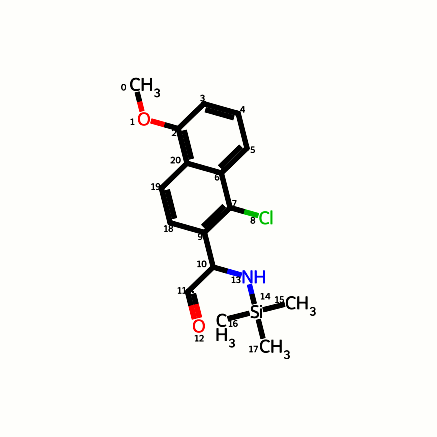 COc1cccc2c(Cl)c(C([C]=O)N[Si](C)(C)C)ccc12